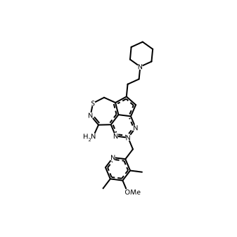 COc1c(C)cnc(Cn2nc3cc(CCN4CCCCC4)c4c-3c(n2)C(N)=NSC4)c1C